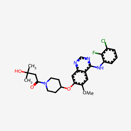 COc1cc2c(Nc3cccc(Cl)c3F)ncnc2cc1OC1CCN(C(=O)CC(C)(C)O)CC1